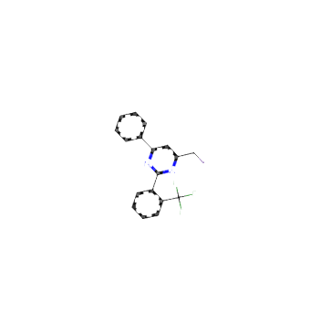 FC(F)(F)c1ccccc1-c1nc(CI)cc(-c2ccccc2)n1